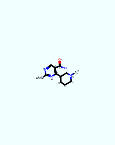 CNc1ncc(C(N)=O)c(C2CCCN(C(C)=O)C2)n1